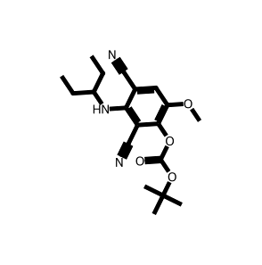 CCC(CC)Nc1c(C#N)cc(OC)c(OC(=O)OC(C)(C)C)c1C#N